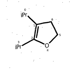 CC(C)C1=C(C(C)C)OCC1